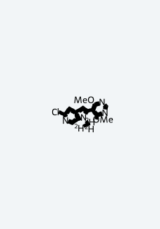 [2H]C([2H])([2H])n1c(-c2c(OC)ncnc2OC)cc2cc(Cl)ncc21